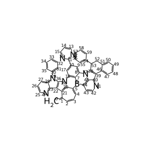 C=C1C=CC=C2B3c4c(cc(-c5ncccn5)cc4-n4c2c1c1c2ncccc2n(-c2ccccc2)c14)-n1c2c(c4nccc3c41)-c1ccccc1CC2c1ccccc1